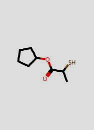 CC(S)C(=O)OC1CCCC1